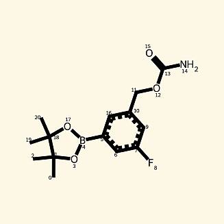 CC1(C)OB(c2cc(F)cc(COC(N)=O)c2)OC1(C)C